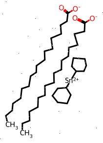 C1CC[CH]([Sn+2][CH]2CCCCC2)CC1.CCCCCCCCCCCCCCCCCC(=O)[O-].CCCCCCCCCCCCCCCCCC(=O)[O-]